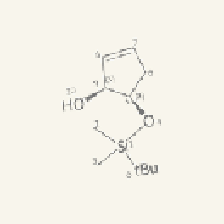 CC(C)(C)[Si](C)(C)O[C@@H]1CC=C[C@@H]1O